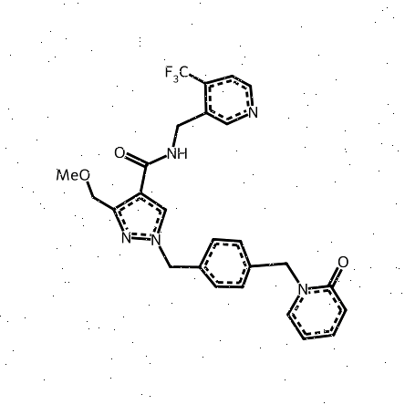 COCc1nn(Cc2ccc(Cn3ccccc3=O)cc2)cc1C(=O)NCc1cnccc1C(F)(F)F